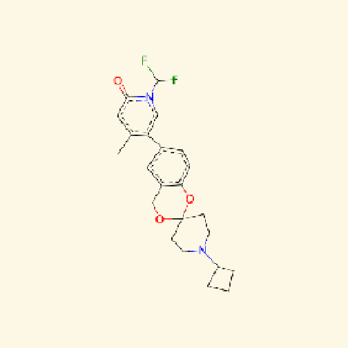 Cc1cc(=O)n(C(F)F)cc1-c1ccc2c(c1)COC1(CCN(C3CCC3)CC1)O2